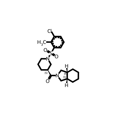 Cc1c(Cl)cccc1S(=O)(=O)N1CCC[C@H](C(=O)N2C[C@H]3CCCC[C@H]3C2)C1